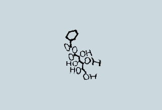 O=C(OC(=O)[C@H](O)[C@@H](O)[C@H](O)[C@H](O)CO)C1CCCCC1